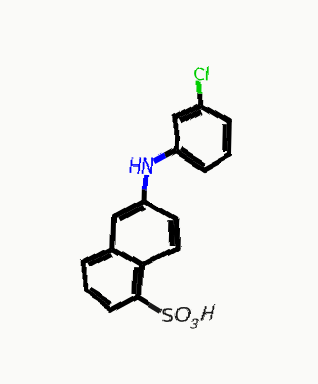 O=S(=O)(O)c1cccc2cc(Nc3cccc(Cl)c3)ccc12